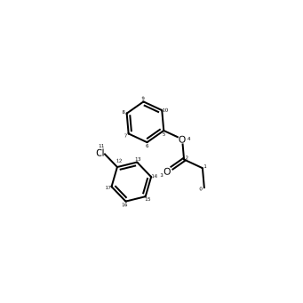 CCC(=O)Oc1ccccc1.Clc1ccccc1